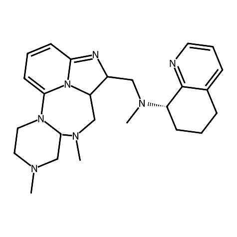 CN(C)CC1C(CN(C)[C@H]2CCCc3cccnc32)N=C2C=CC=C(N3CCN(C)CC3)N21